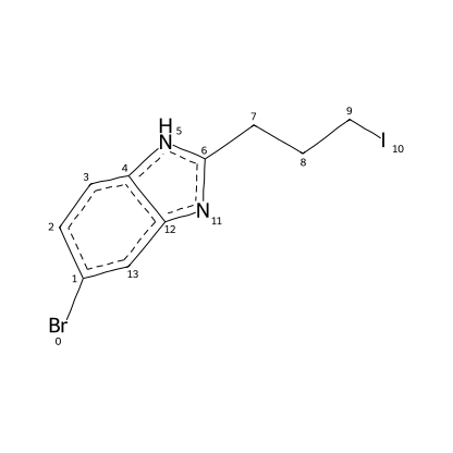 Brc1ccc2[nH]c(CCCI)nc2c1